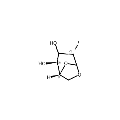 OC1[C@H](I)C2OC[C@@H](O2)[C@H]1O